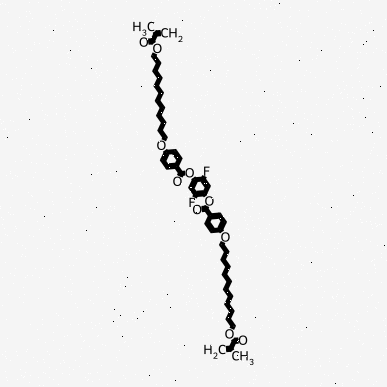 C=C(C)C(=O)OCCCCCCCCCCCCOc1ccc(C(=O)Oc2cc(F)c(OC(=O)c3ccc(OCCCCCCCCCCCCOC(=O)C(=C)C)cc3)cc2F)cc1